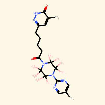 BC1(B)N(C(=O)CCCCc2cc(C(F)(F)F)c(=O)[nH]n2)C(B)(B)C(B)(B)N(c2ncc(C(F)(F)F)cn2)C1(B)B